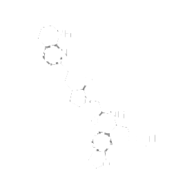 O=C(O)CC(NC(=O)CN1CCC(CCc2ccc3c(n2)NCCC3)C1=O)c1ccc2c(c1)OCC2